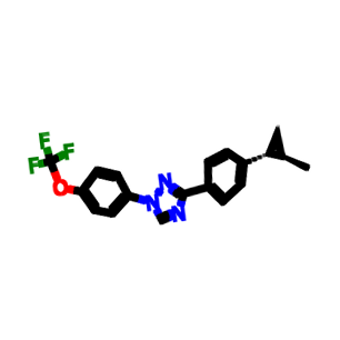 C[C@@H]1C[C@H]1c1ccc(-c2ncn(-c3ccc(OC(F)(F)F)cc3)n2)cc1